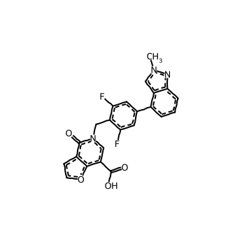 Cn1cc2c(-c3cc(F)c(Cn4cc(C(=O)O)c5occc5c4=O)c(F)c3)cccc2n1